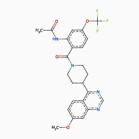 COc1ccc2c(C3CCN(C(=O)c4ccc(OC(F)(F)F)cc4NC(C)=O)CC3)ncnc2c1